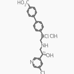 Cl.Cl.O=C(O)c1ccc(-c2ccc(CCNC[C@@H](O)c3cncc(Cl)c3)cc2)cc1